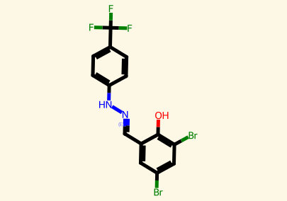 Oc1c(Br)cc(Br)cc1/C=N/Nc1ccc(C(F)(F)F)cc1